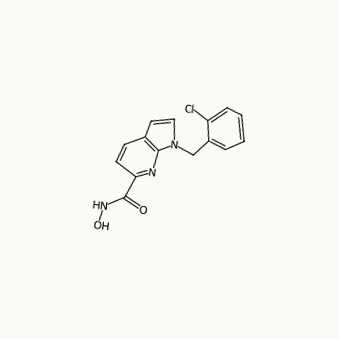 O=C(NO)c1ccc2ccn(Cc3ccccc3Cl)c2n1